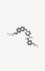 COC=Cc1ccc2ccc(CN3CCC(NC(=O)c4cccc(OC)c4)CC3)cc2c1